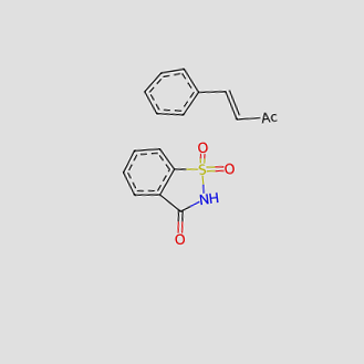 CC(=O)C=Cc1ccccc1.O=C1NS(=O)(=O)c2ccccc21